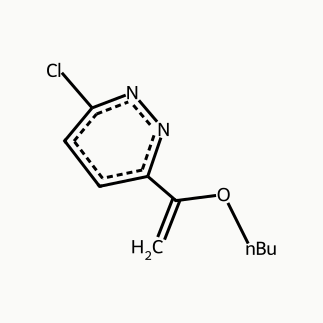 C=C(OCCCC)c1ccc(Cl)nn1